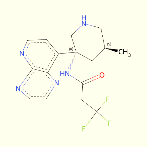 C[C@@H]1CNC[C@](NC(=O)CC(F)(F)F)(c2ccnc3nccnc23)C1